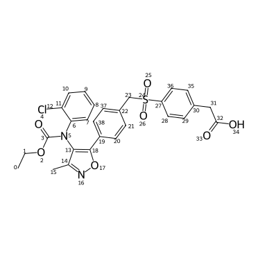 CCOC(=O)N(c1ccccc1Cl)c1c(C)noc1-c1ccc(CS(=O)(=O)c2ccc(CC(=O)O)cc2)cc1